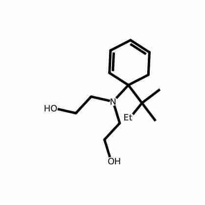 CCC(C)(C)C1(N(CCO)CCO)C=CC=CC1